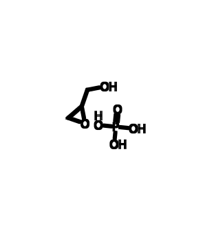 O=P(O)(O)O.OCC1CO1